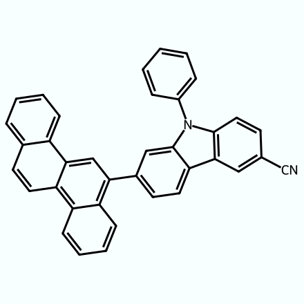 N#Cc1ccc2c(c1)c1ccc(-c3cc4c5ccccc5ccc4c4ccccc34)cc1n2-c1ccccc1